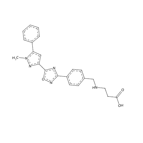 Cn1nc(-c2nc(-c3ccc(CNCCC(=O)O)cc3)no2)cc1-c1ccccc1